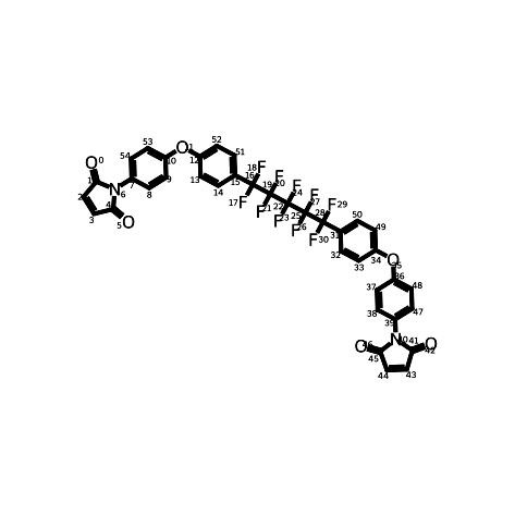 O=C1C=CC(=O)N1c1ccc(Oc2ccc(C(F)(F)C(F)(F)C(F)(F)C(F)(F)C(F)(F)c3ccc(Oc4ccc(N5C(=O)C=CC5=O)cc4)cc3)cc2)cc1